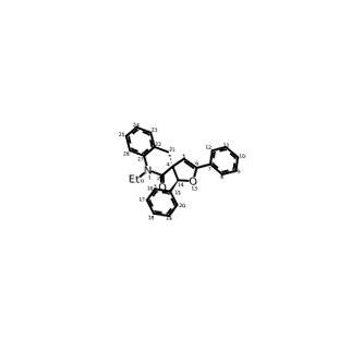 CCN1C(=O)[C@]2(C=C(c3ccccc3)O[C@H]2c2ccccc2)Cc2ccccc21